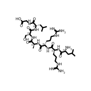 CC(C)C[C@H](NC(=O)[C@H](CO)NC(=O)[C@H](C)NC(=O)[C@H](CCCNC(=N)N)NC(=O)[C@H](CCCNC(=N)N)NC(=O)[C@@H](N)CC(C)C)C(=O)NCC(=O)O